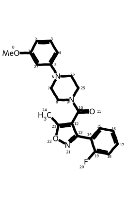 COc1cccc(N2CCN(C(=O)c3c(-c4ccccc4F)noc3C)CC2)c1